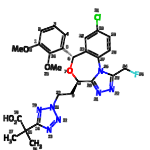 COc1cccc([C@H]2O[C@H](CCn3nnc(C(C)(C)C(=O)O)n3)c3nnc(CF)n3-c3ccc(Cl)cc32)c1OC